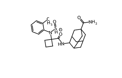 Cc1ccccc1N([SH](=O)=O)C1(C(=O)NC2C3CC4CC2CC(C(N)=O)(C4)C3)CCC1